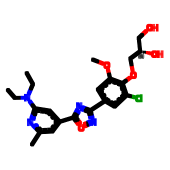 CCN(CC)c1cc(-c2nc(-c3cc(Cl)c(OC[C@@H](O)CO)c(OC)c3)no2)cc(C)n1